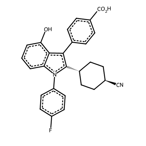 N#C[C@H]1CC[C@H](c2c(-c3ccc(C(=O)O)cc3)c3c(O)cccc3n2-c2ccc(F)cc2)CC1